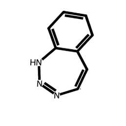 [C]1=Cc2ccccc2NN=N1